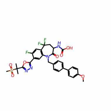 COc1ccc(-c2ccc(CN3C(=O)C(NC(=O)O)CC(F)(F)c4cc(F)c(-c5nnc(C(C)(C)S(C)(=O)=O)o5)cc43)cc2)cc1